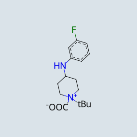 CC(C)(C)[N+]1(C(=O)[O-])CCC(Nc2cccc(F)c2)CC1